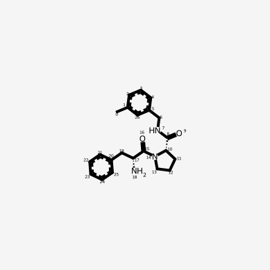 Cc1cccc(CNC(=O)[C@@H]2CCCN2C(=O)[C@H](N)Cc2ccccc2)c1